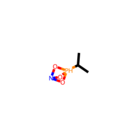 CC(C)[PH]12ON(O1)O2